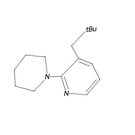 CC(C)(C)Cc1cccnc1N1CCCCC1